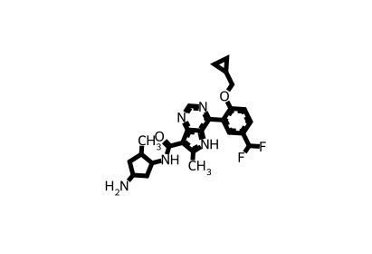 Cc1[nH]c2c(-c3cc(C(F)F)ccc3OCC3CC3)ncnc2c1C(=O)NC1CC(N)CC1C